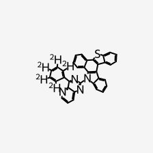 [2H]c1c([2H])c([2H])c(-c2nc(-n3c4ccccc4c4c5c6ccccc6sc5c5ccccc5c43)nc3cccnc23)c([2H])c1[2H]